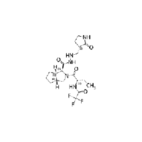 CC[C@H](NC(=O)C(F)(F)F)C(=O)N1C[C@@H]2CCC[C@@H]2[C@H]1C(=O)NNC[C@@H]1CCNC1=O